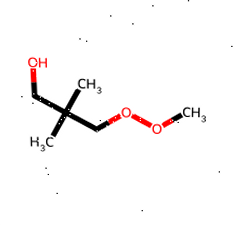 COOCC(C)(C)CO